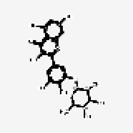 CC1O[C@@H](Oc2cc(-c3oc4cc(O)cc(O)c4c(=O)c3O)cc(O)c2O)[C@@H](O)C(O)[C@H]1O